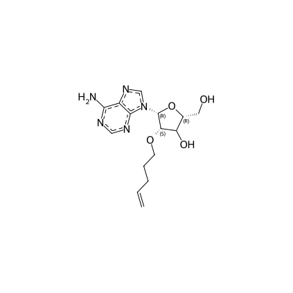 C=CCCCO[C@H]1C(O)[C@@H](CO)O[C@H]1n1cnc2c(N)ncnc21